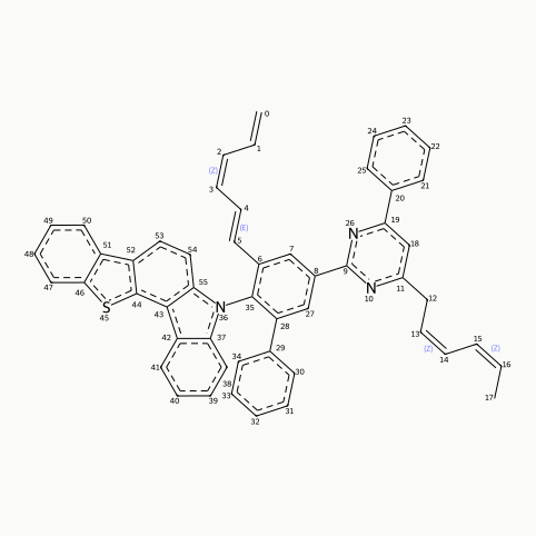 C=C/C=C\C=C\c1cc(-c2nc(C/C=C\C=C/C)cc(-c3ccccc3)n2)cc(-c2ccccc2)c1-n1c2ccccc2c2c3sc4ccccc4c3ccc21